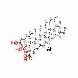 CCCCCCCCCCCCCCCC(=O)O.CCCCCCCCCCCCCCCC(=O)O.CCCCCCCCCCCCCCCC(=O)O.[Al]